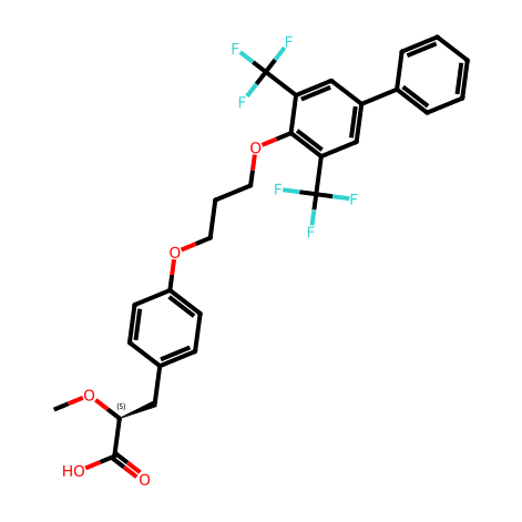 CO[C@@H](Cc1ccc(OCCCOc2c(C(F)(F)F)cc(-c3ccccc3)cc2C(F)(F)F)cc1)C(=O)O